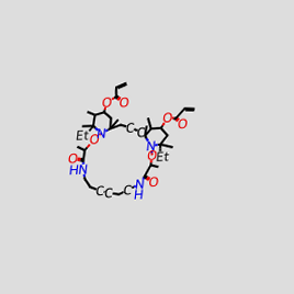 C=CC(=O)OC1CC2(C)CCCC3(C)C(C)C(OC(=O)C=C)CC(C)(CC)N3OC(C)C(=O)NCCCCCCNC(=O)C(C)ON2C(C)(CC)C1C